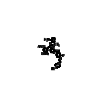 COc1ccc(OC)c(CN(C(=O)Oc2c(C)cccc2C)c2ccnc(Nc3ccc(OCCN4CCN(C(C)C)CC4)c(F)c3)n2)c1